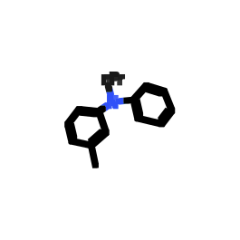 [CH2]CCN(c1ccccc1)c1cccc(C)c1